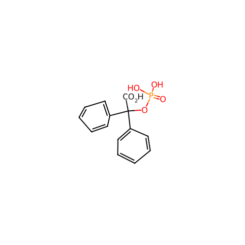 O=C(O)C(OP(=O)(O)O)(c1ccccc1)c1ccccc1